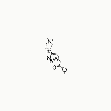 COC(=O)Cn1cc([C@H]2CC[N+](C)(C)C2)nn1